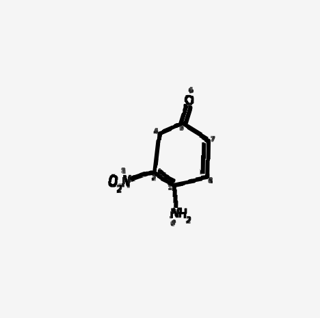 NC1=C([N+](=O)[O-])CC(=O)C=C1